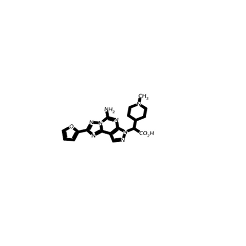 CN1CCC(C(C(=O)O)n2ncc3c2nc(N)n2nc(-c4ccco4)nc32)CC1